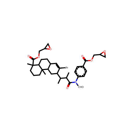 CC(C)C1=CC2CCC3C(C)(C(=O)OCC4CO4)CCCC3(C)C2CC1C(C)C(C)C(=O)N(C=O)c1ccc(C(=O)OCC2CO2)cc1